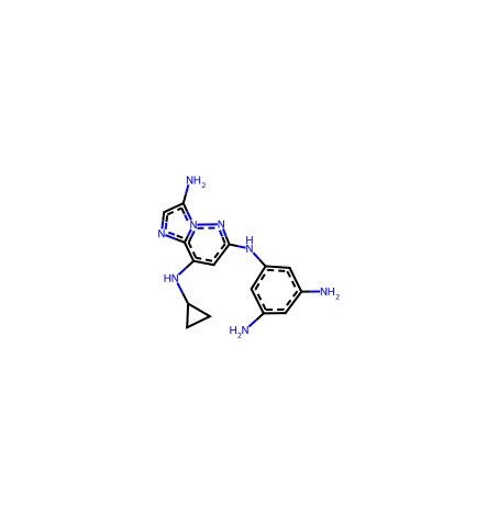 Nc1cc(N)cc(Nc2cc(NC3CC3)c3ncc(N)n3n2)c1